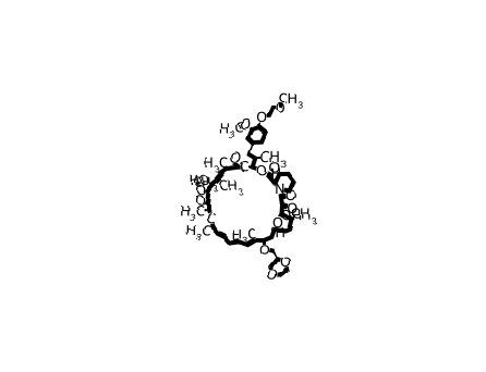 COCCO[C@@H]1CC[C@@H](C[C@@H](C)[C@@H]2CC(=O)[C@H](C)/C=C(\C)[C@@H](O)[C@@H](OC)C(=O)[C@H](C)C[C@H](C)/C=C/C=C/C=C(\C)C(OC[C@@H]3COCCO3)C[C@@H]3CC[C@@H](C)[C@@](O)(O3)C(=O)C(=O)N3CCCC[C@H]3C(=O)O2)C[C@H]1OC